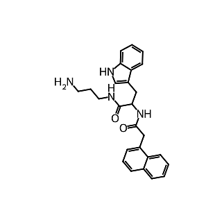 NCCCNC(=O)C(Cc1c[nH]c2ccccc12)NC(=O)Cc1cccc2ccccc12